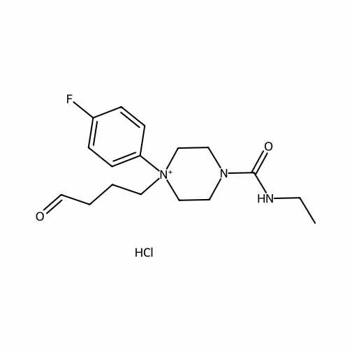 CCNC(=O)N1CC[N+](CCCC=O)(c2ccc(F)cc2)CC1.Cl